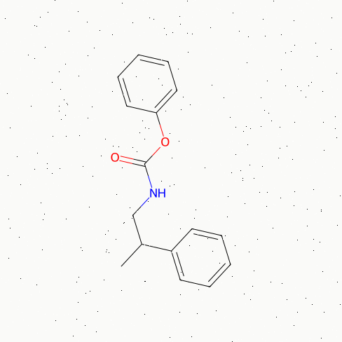 CC(CNC(=O)Oc1ccccc1)c1ccccc1